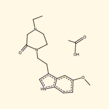 CC(=O)O.CCN1CCN(CCc2c[nH]c3ccc(OC)cc23)C(=O)C1